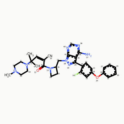 CN1CCN(C(C)(C)/C=C(/C#N)C(=O)N2CCC2Cn2nc(-c3ccc(Oc4ccccc4)cc3F)c3c(N)ncnc32)CC1